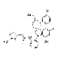 Cc1nc(NC(=O)Nc2ccccc2N2CC3(CCN(CC(C)(C)C)CC3)c3c(-c4ccc(Cl)cc4)c(F)cc(O)c32)cs1